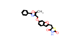 Cc1oc(-c2ccccc2)nc1COc1ccc2cc(CC3SC(=O)NC3=O)oc2c1